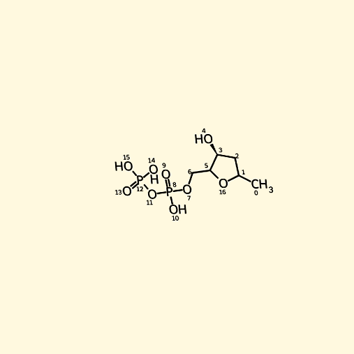 CC1C[C@H](O)C(COP(=O)(O)OP(=O)(O)O)O1